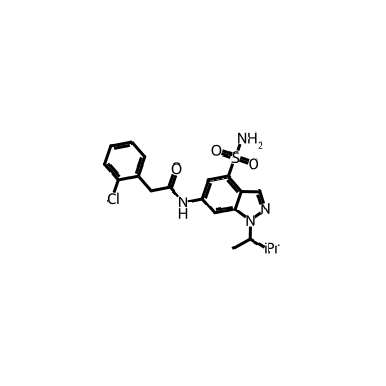 CC(C)C(C)n1ncc2c(S(N)(=O)=O)cc(NC(=O)Cc3ccccc3Cl)cc21